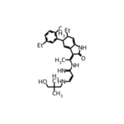 CCc1ccc(C)c(C2C=C3C(=CC2CC)NC(=O)/C3=C(/C)NC(=N)/C=C\NCC(C)(C)CO)c1